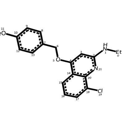 CCNc1cc(OCc2ccc(OC)cc2)c2cccc(Cl)c2n1